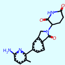 Cc1ccc(N)nc1-c1ccc2c(c1)CN(C1CCC(=O)NC1=O)C2=O